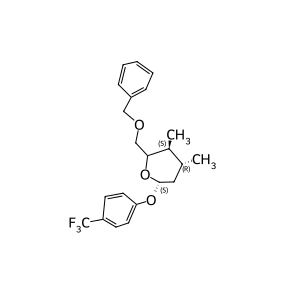 C[C@@H]1C[C@H](Oc2ccc(C(F)(F)F)cc2)OC(COCc2ccccc2)[C@H]1C